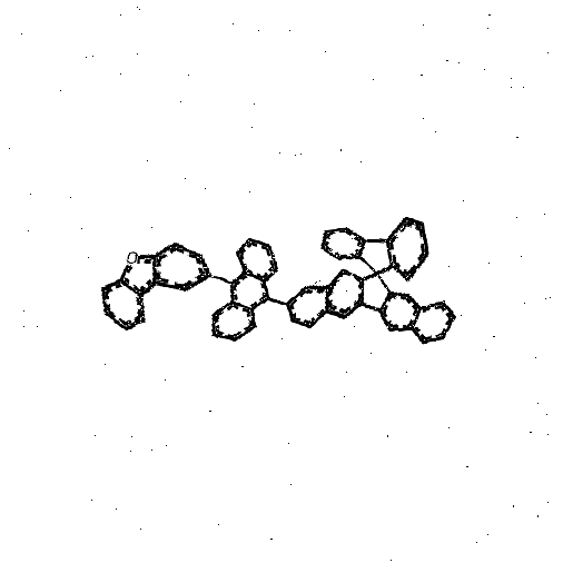 c1ccc2c(c1)-c1ccccc1C21c2cc3ccccc3cc2-c2cc3ccc(-c4c5ccccc5c(-c5ccc6oc7ccccc7c6c5)c5ccccc45)cc3cc21